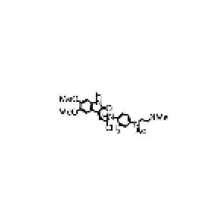 CNCCN(C(C)=O)c1ccc(NC(C)C=C2C(=O)Nc3cc(OC)c(OC)cc32)cc1